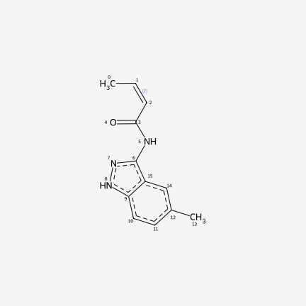 C/C=C\C(=O)Nc1n[nH]c2ccc(C)cc12